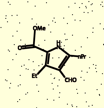 CCCc1[nH]c(C(=O)OC)c(CC)c1C=O